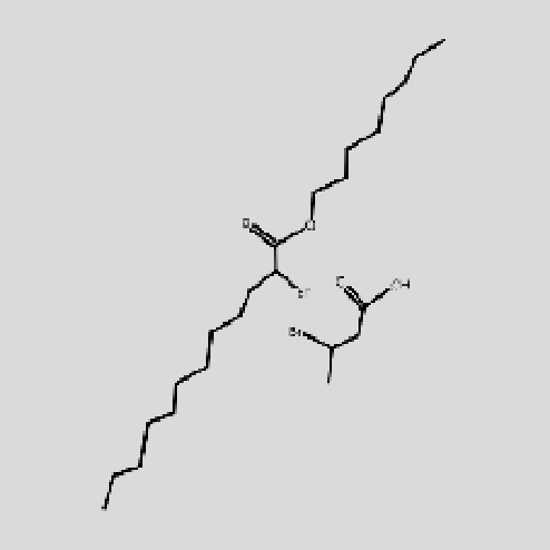 CC(Br)CC(=O)O.CCCCCCCCCCC(Br)C(=O)OCCCCCCCC